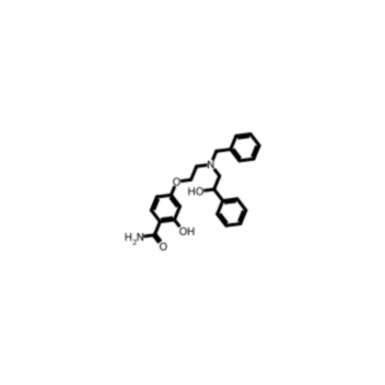 NC(=O)c1ccc(OCCN(Cc2ccccc2)CC(O)c2ccccc2)cc1O